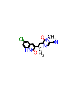 C[C@H](Cc1ncc(C#N)n(C)c1=O)c1cc2cc(Cl)ccc2[nH]c1=O